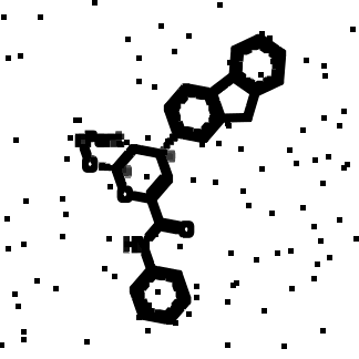 CCCCCO[C@@H]1C[C@H](c2ccc3c(c2)Cc2ccccc2-3)C=C(C(=O)Nc2ccccc2)O1